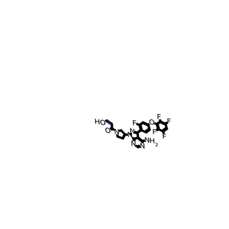 Nc1ncnc2c1c(-c1ccc(Oc3c(F)c(F)cc(F)c3F)cc1F)nn2C1CCN(C(=O)/C=C\O)C1